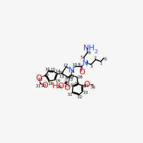 CCCCN(CCN)C(=O)CN1C[C@H](c2ccc3c(c2)OCO3)[C@@H](C(=O)O)[C@@H]1Cc1ccccc1OC